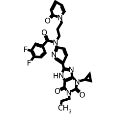 CCCn1c(=O)c2[nH]c(-c3ccc(N(CCCn4ccccc4=O)C(=O)c4ccc(F)c(F)c4)nc3)nc2n(C2CC2)c1=O